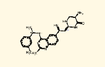 Cc1cccc([C@@H](C)Nc2nc(C)nc3ccc(C(=N)/C=C4\NCC(N)C(=O)N4)cc23)c1